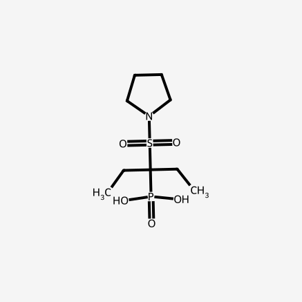 CCC(CC)(P(=O)(O)O)S(=O)(=O)N1CCCC1